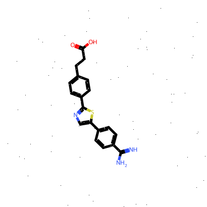 N=C(N)c1ccc(-c2cnc(-c3ccc(CCC(=O)O)cc3)s2)cc1